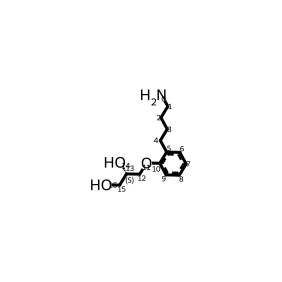 NCCCCc1ccccc1OC[C@@H](O)CO